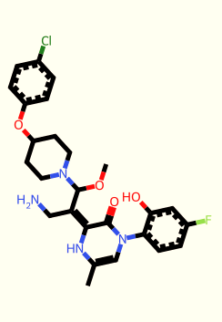 COC(/C(CN)=C1/NC(C)=CN(c2ccc(F)cc2O)C1=O)N1CCC(Oc2ccc(Cl)cc2)CC1